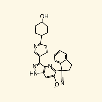 COc1cc2[nH]nc(-c3ccc(C4CCC(O)CC4)nc3)c2nc1C1(C#N)CCc2ccccc21